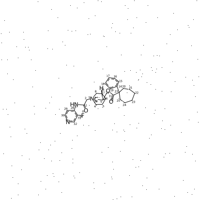 O=C(C[N+]12CCC(CC1)[C@@H](OC(=O)C1(c3ccccc3)CCCCCC1)C2)Nc1ccncc1F